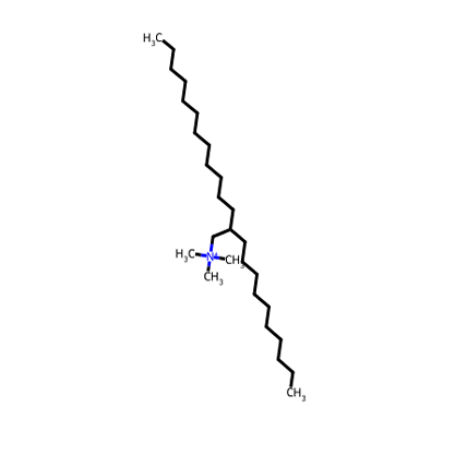 CCCCCCCCCCCCC(CCCCCCCCCC)C[N+](C)(C)C